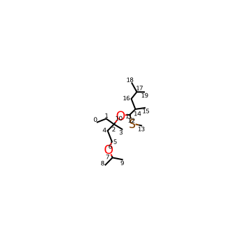 CCC(C)(CCOC(C)C)OC(SC)C(C)CC(C)C